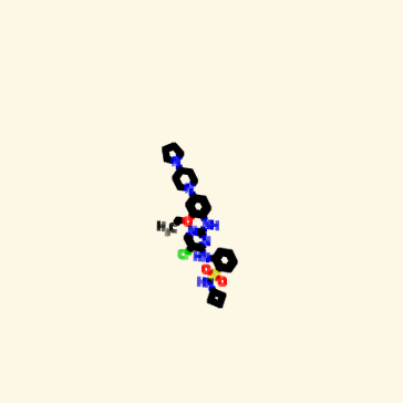 CCOc1cc(N2CCC(N3CCCC3)CC2)ccc1Nc1ncc(Cl)c(Nc2ccccc2S(=O)(=O)NC2CCC2)n1